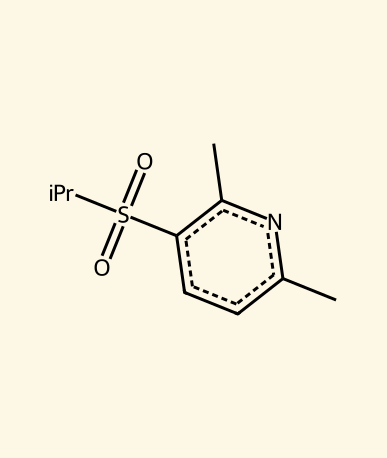 Cc1ccc(S(=O)(=O)C(C)C)c(C)n1